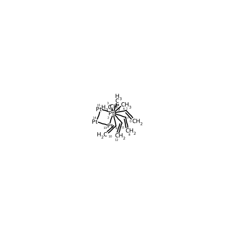 C=[CH][Pt]1([CH3])([CH3])([CH3])([CH3])([CH]=C)([CH]=C)([CH]=C)[Pt][Pt][Pt]1